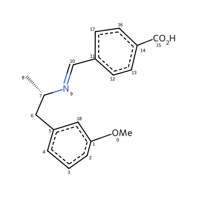 COc1cccc(C[C@H](C)N=Cc2ccc(C(=O)O)cc2)c1